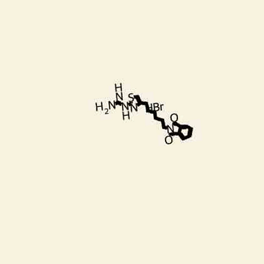 Br.N=C(N)Nc1nc(CCCCCCN2C(=O)c3ccccc3C2=O)cs1